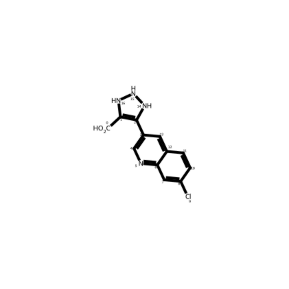 O=C(O)C1=C(c2cnc3cc(Cl)ccc3c2)NNN1